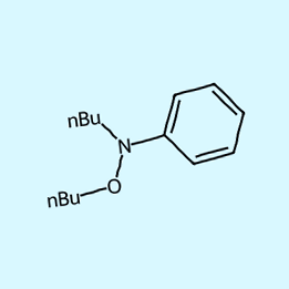 CCCCON(CCCC)c1ccccc1